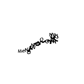 CNC(=O)c1cnc(N2CCN(C(=O)CCOCC(C)n3nc(C)c4c(=O)[nH]ncc43)CC2)nc1